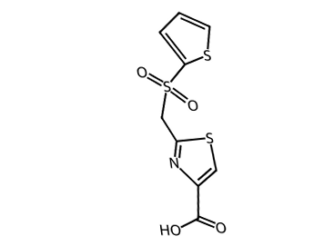 O=C(O)c1csc(CS(=O)(=O)c2cccs2)n1